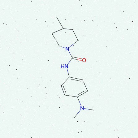 CC1CCN(C(=O)Nc2ccc(N(C)C)cc2)CC1